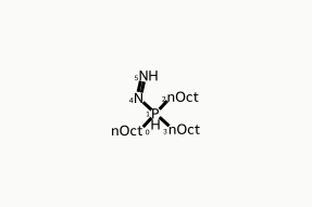 CCCCCCCC[PH](CCCCCCCC)(CCCCCCCC)N=N